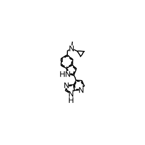 CN(Cc1ccc2[nH]c(-c3ccnc4[nH]cnc34)cc2c1)C1CC1